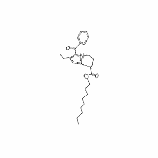 CCCCCCCCCOC(=O)C1CCn2c1cc(CC)c2C(=O)c1ccccc1